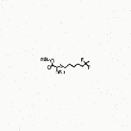 CCCCOC(=O)C(CCCC)SCCCCCC(C)(F)F